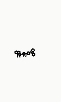 C1=CC2c3ccccc3N(c3ccc(-c4ccc(-c5cnn6c5ccc5ccccc56)cn4)cc3)C2C=C1